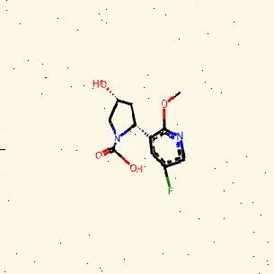 COc1ncc(F)cc1[C@H]1C[C@@H](O)CN1C(=O)O